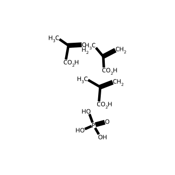 C=C(C)C(=O)O.C=C(C)C(=O)O.C=C(C)C(=O)O.O=P(O)(O)O